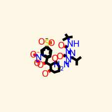 CC(C)c1nn(C(=O)NC(C)(C)C)c(=O)n1N.CS(=O)(=O)c1ccc(C(=O)C2C(=O)CCCC2=O)c([N+](=O)[O-])c1